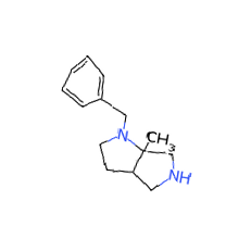 CC12CNCC1CCN2Cc1ccccc1